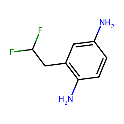 Nc1ccc(N)c(CC(F)F)c1